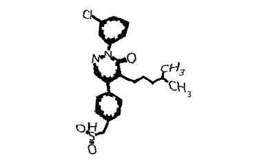 CC(C)CCCc1c(-c2ccc(C[SH](=O)=O)cc2)cnn(-c2cccc(Cl)c2)c1=O